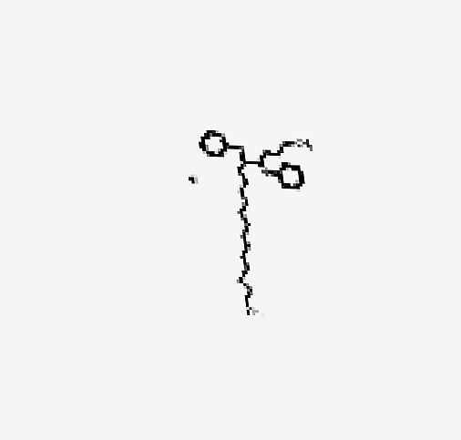 CCCCCCCCCCCCCCC(=N\c1ccccc1)/C(CCCC)=N/c1ccccc1.[Ni]